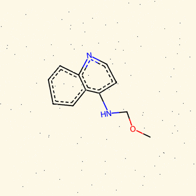 COCNc1ccnc2ccccc12